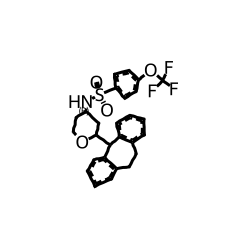 O=S(=O)(N[C@@H]1CCOC(C2c3ccccc3CCc3ccccc32)C1)c1ccc(OC(F)(F)F)cc1